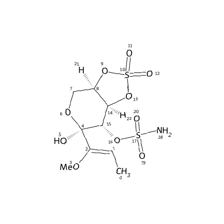 CC=C(OC)[C@@]1(O)OC[C@H]2OS(=O)(=O)O[C@H]2[C@@H]1OS(N)(=O)=O